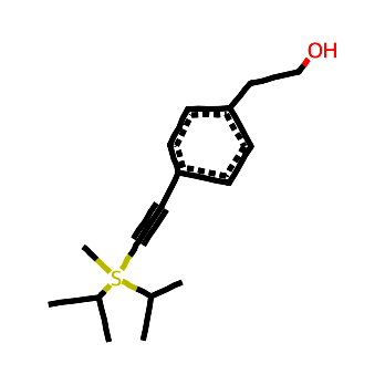 CC(C)S(C)(C#Cc1ccc(CCO)cc1)C(C)C